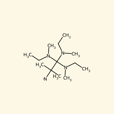 CCN(C)C(N(C)CC)(N(C)CC)C(C)(C)[N]